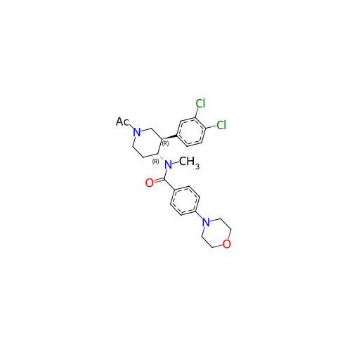 CC(=O)N1CC[C@@H](N(C)C(=O)c2ccc(N3CCOCC3)cc2)[C@H](c2ccc(Cl)c(Cl)c2)C1